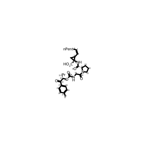 CCCCC/C=C\C1C[C@]1(NC(=O)[C@@H]1CCCN1C(=O)CNC(=O)O[C@H](C(=O)c1ccc(F)cc1)C(C)C)C(=O)O